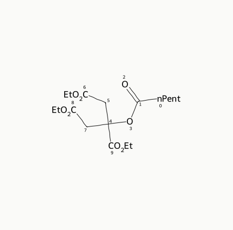 CCCCCC(=O)OC(CC(=O)OCC)(CC(=O)OCC)C(=O)OCC